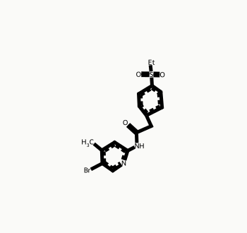 CCS(=O)(=O)c1ccc(CC(=O)Nc2cc(C)c(Br)cn2)cc1